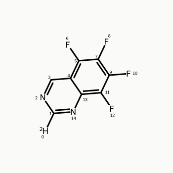 [2H]c1ncc2c(F)c(F)c(F)c(F)c2n1